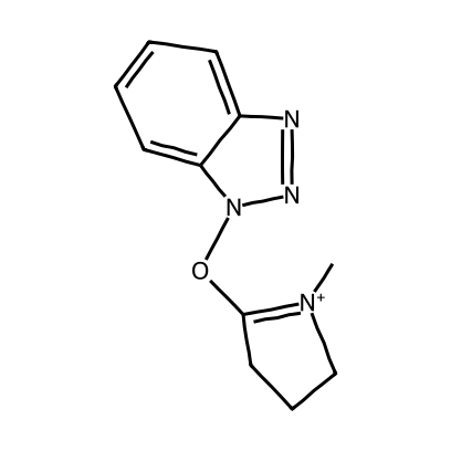 C[N+]1=C(On2nnc3ccccc32)CCC1